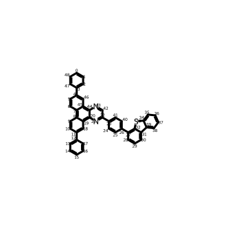 c1ccc(-c2ccc3c4ccc(-c5ccccc5)cc4c4nc(-c5ccc(-c6cccc7c6sc6ccccc67)cc5)cnc4c3c2)cc1